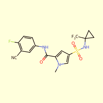 Cn1cc(S(=O)(=O)NC2(C(F)(F)F)CC2)cc1C(=O)Nc1ccc(F)c(C#N)c1